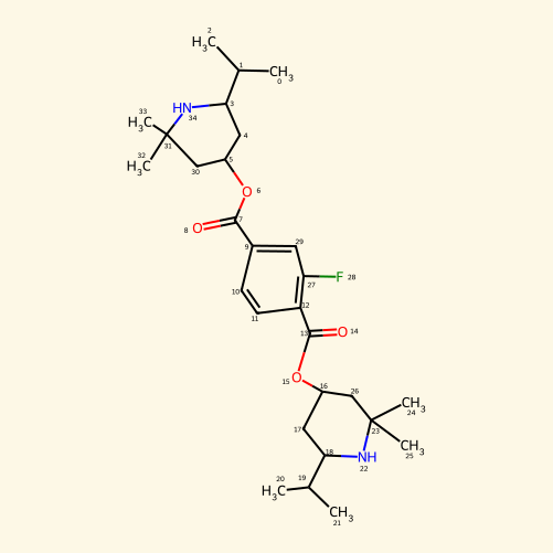 CC(C)C1CC(OC(=O)c2ccc(C(=O)OC3CC(C(C)C)NC(C)(C)C3)c(F)c2)CC(C)(C)N1